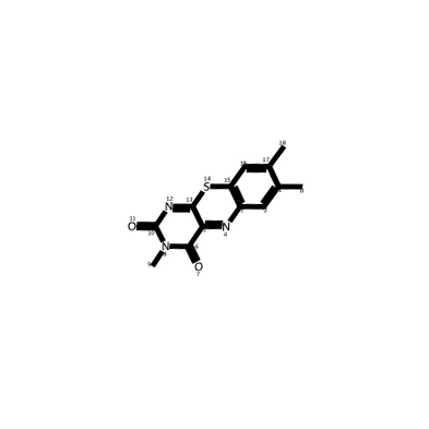 Cc1cc2nc3c(=O)n(C)c(=O)nc-3sc2cc1C